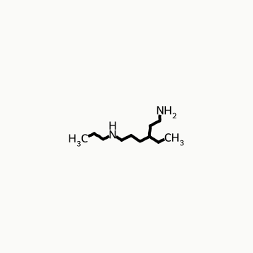 CCCNCCCC(CC)CCN